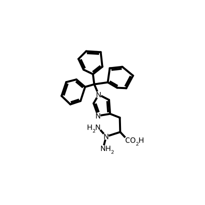 NN(N)C(Cc1cn(C(c2ccccc2)(c2ccccc2)c2ccccc2)cn1)C(=O)O